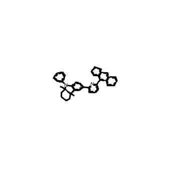 CC12CCCCC1(C)N(c1ccccc1)c1ccc(-c3cccc(-c4c5ccccc5cc5ccccc45)n3)cc12